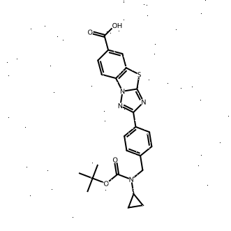 CC(C)(C)OC(=O)N(Cc1ccc(-c2nc3sc4cc(C(=O)O)ccc4n3n2)cc1)C1CC1